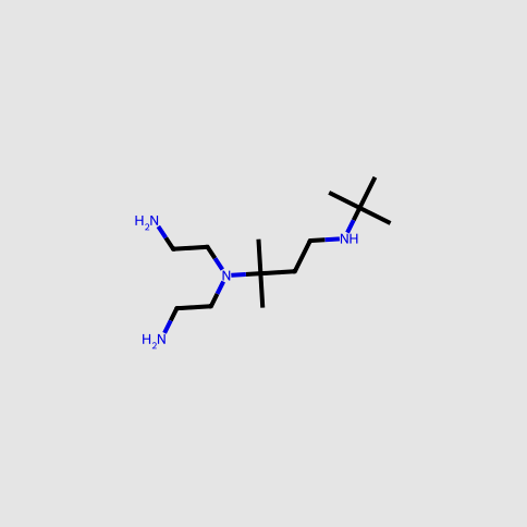 CC(C)(C)NCCC(C)(C)N(CCN)CCN